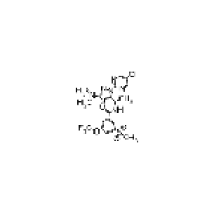 CC(NC(=O)c1cc(OC(F)(F)F)cc(S(C)(=O)=O)c1)c1nc(N(C)C)nn1-c1ncc(Cl)cn1